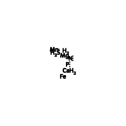 S.[CaH2].[Fe].[MgH2].[Mn].[N].[P]